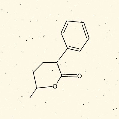 CC1CCC(c2ccccc2)C(=O)O1